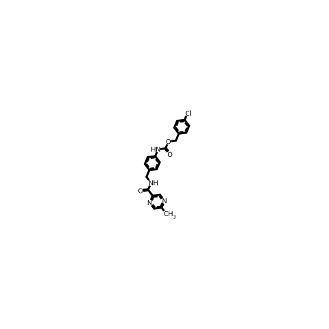 Cc1cnc(C(=O)NCc2ccc(NC(=O)OCc3ccc(Cl)cc3)cc2)cn1